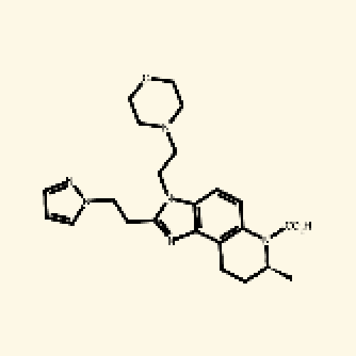 C[C@H]1CCc2c(ccc3c2nc(CCn2cccn2)n3CCN2CCOCC2)N1C(=O)O